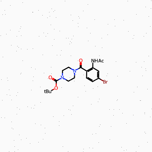 CC(=O)Nc1cc(Br)ccc1C(=O)N1CCN(C(=O)OC(C)(C)C)CC1